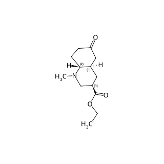 CCOC(=O)[C@@H]1C[C@@H]2CC(=O)CC[C@H]2N(C)C1